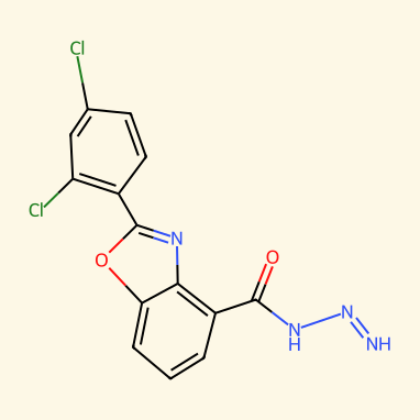 N=NNC(=O)c1cccc2oc(-c3ccc(Cl)cc3Cl)nc12